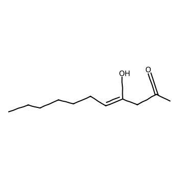 CCCCCCC=C(O)CC(C)=O